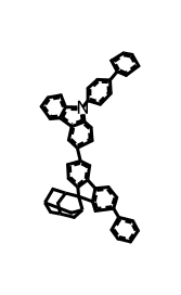 c1ccc(-c2ccc(-n3c4ccccc4c4cc(-c5ccc6c(c5)-c5ccc(-c7ccccc7)cc5C65C6CC7CC(C6)CC5C7)ccc43)cc2)cc1